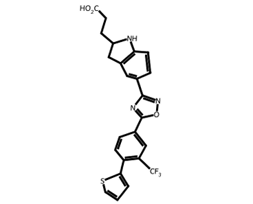 O=C(O)CCC1Cc2cc(-c3noc(-c4ccc(-c5cccs5)c(C(F)(F)F)c4)n3)ccc2N1